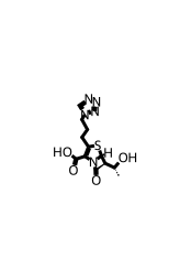 C[C@@H](O)[C@H]1C(=O)N2C(C(=O)O)=C(CCCn3cnnn3)S[C@H]12